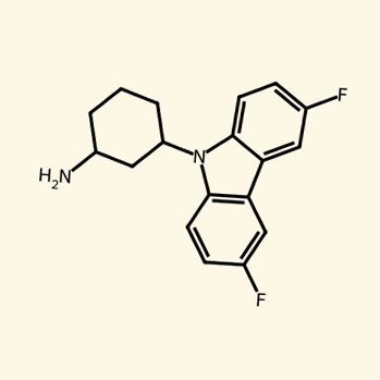 NC1CCCC(n2c3ccc(F)cc3c3cc(F)ccc32)C1